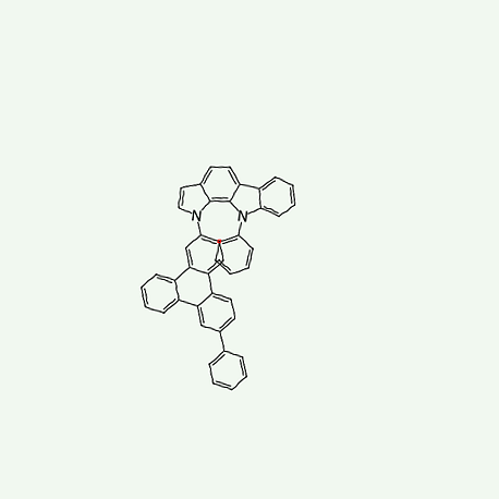 c1ccc(-c2ccc3c4ccc(-n5ccc6ccc7c8ccccc8n(-c8ccccc8)c7c65)cc4c4ccccc4c3c2)cc1